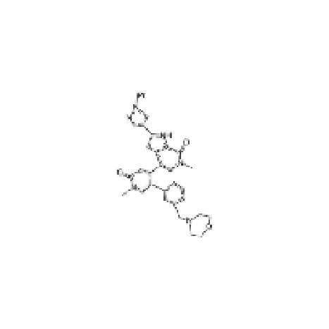 CC(C)n1cc(-c2cc3c(-c4cc(=O)n(C)cc4-c4cccc(CN5CCOCC5)c4)cn(C)c(=O)c3[nH]2)cn1